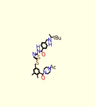 CC(=O)N1CCN(C(=O)c2cc(CSc3cnc(NC(=O)c4ccc(CNC(C)C(C)(C)C)cc4)s3)cc(C)c2C)CC1